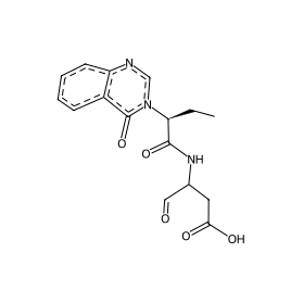 CC[C@@H](C(=O)NC(C=O)CC(=O)O)n1cnc2ccccc2c1=O